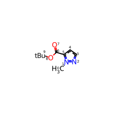 Cn1nccc1C(=O)OC(C)(C)C